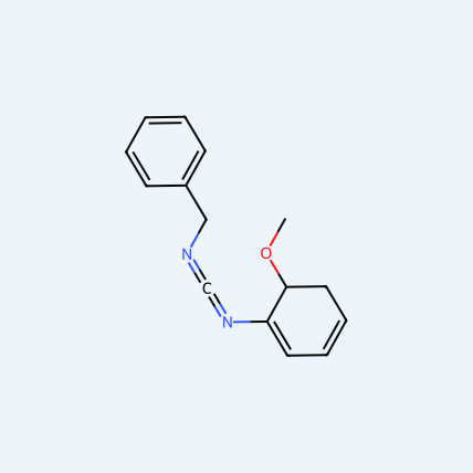 COC1CC=CC=C1N=C=NCc1ccccc1